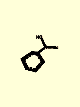 [CH2]C(=O)N(O)c1ccccc1